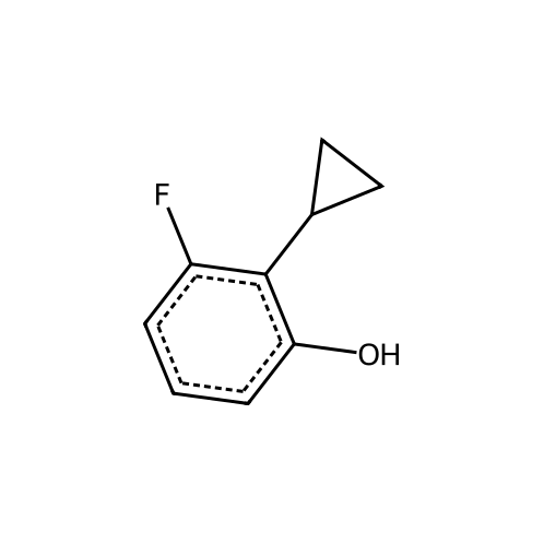 Oc1cccc(F)c1C1CC1